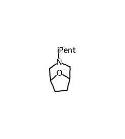 CCCC(C)N1CC2CCC(C1)O2